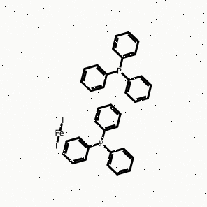 [I][Fe][I].c1ccc(P(c2ccccc2)c2ccccc2)cc1.c1ccc(P(c2ccccc2)c2ccccc2)cc1